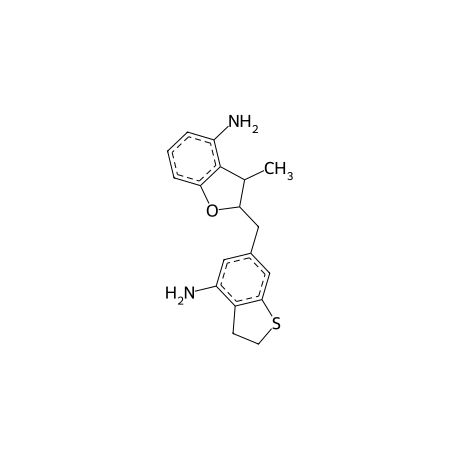 CC1c2c(N)cccc2OC1Cc1cc(N)c2c(c1)SCC2